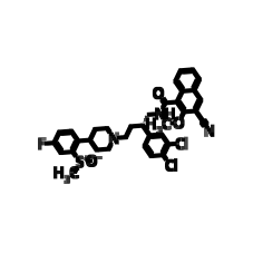 COc1c(C#N)cc2ccccc2c1C(=O)NC[C@@H](CCN1CCC(c2ccc(F)cc2[S+](C)[O-])CC1)c1ccc(Cl)c(Cl)c1